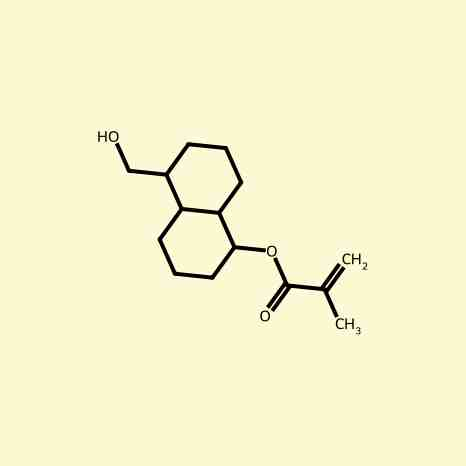 C=C(C)C(=O)OC1CCCC2C(CO)CCCC12